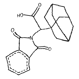 O=C(O)C(N1C(=O)c2ccccc2C1=O)C12CC3CC(CC(C3)C1)C2